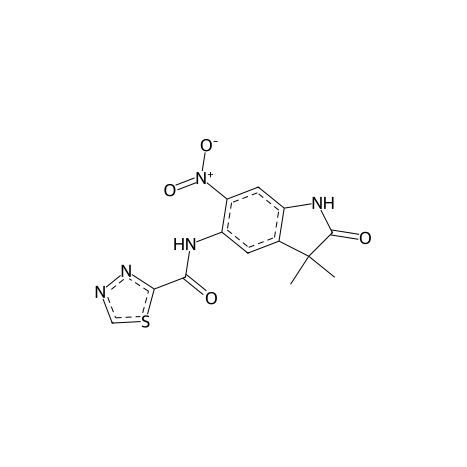 CC1(C)C(=O)Nc2cc([N+](=O)[O-])c(NC(=O)c3nncs3)cc21